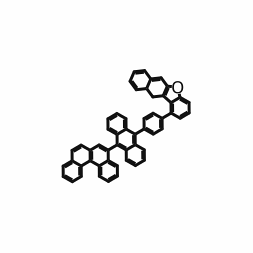 C1=CC2=Cc3oc4cccc(-c5ccc(-c6c7ccccc7c(-c7cc8ccc9ccccc9c8c8ccccc78)c7ccccc67)cc5)c4c3CC2C=C1